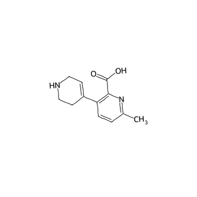 Cc1ccc(C2=CCNCC2)c(C(=O)O)n1